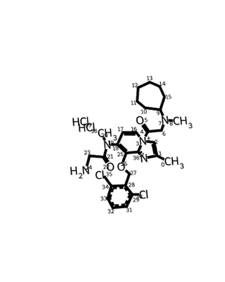 CC1=C[N+]2(C(=O)CN(C)C3CCCCCC3)C=CC(N(C)C(=O)CN)=C(OCc3c(Cl)cccc3Cl)C2=N1.Cl.Cl